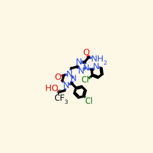 NC(=O)c1nc(CN2N=C(c3ccc(Cl)cc3)N(C[C@H](O)C(F)(F)F)C3OC32)nn1-c1ncccc1Cl